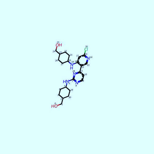 OCC1CCC(Nc2nccc(-c3cnc(Cl)cc3NC3CCC(CO)CC3)n2)CC1